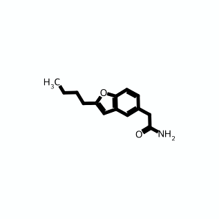 CCCCc1cc2cc(CC(N)=O)ccc2o1